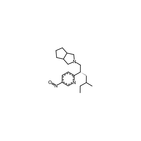 CCC(C)C[C@@H](CN1CC2CCCC2C1)c1ccc(N=O)cn1